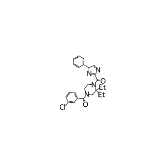 CCC1(CC)CN(C(=O)c2cccc(Cl)c2)CCN1C(=O)C1=NC(c2ccccc2)C=N1